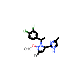 CCC1=CC(c2nc(C)c[nH]2)N(C(C)c2ccc(Cl)c(Cl)c2)N1OC=O